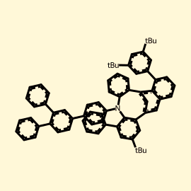 CC(C)(C)c1cc(-c2cccc3cc4cc(c23)-c2ccccc2N(c2ccc(-c3ccc(-c5ccccc5)c(-c5ccccc5)c3)cc2)c2c(-c3ccccc3)cc(C(C)(C)C)cc2-4)cc(C(C)(C)C)c1